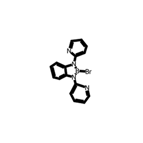 BrB1N(c2ccccn2)c2ccccc2N1c1ccccn1